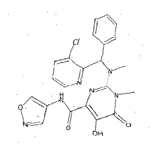 CN(c1nc(C(=O)Nc2cnoc2)c(O)c(=O)n1C)C(c1ccccc1)c1ncccc1Cl